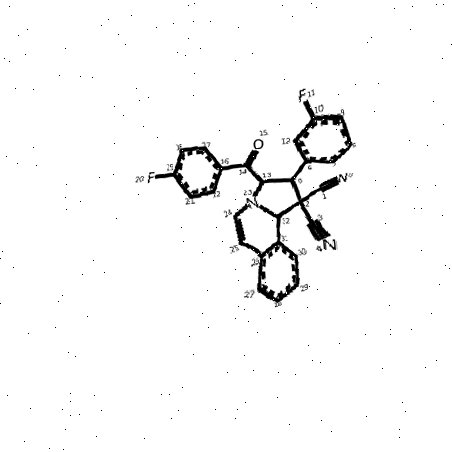 N#CC1(C#N)C(c2cccc(F)c2)C(C(=O)c2ccc(F)cc2)N2C=Cc3ccccc3C21